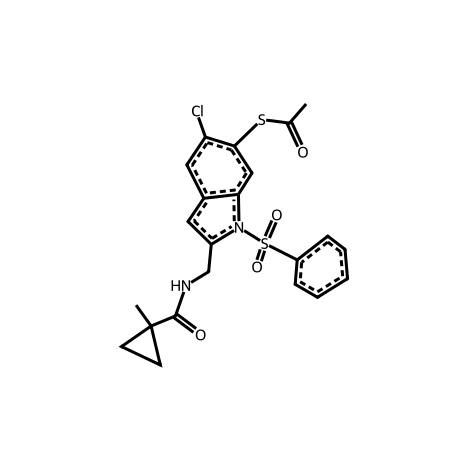 CC(=O)Sc1cc2c(cc1Cl)cc(CNC(=O)C1(C)CC1)n2S(=O)(=O)c1ccccc1